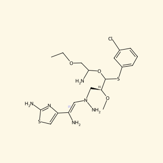 CCOCC(N)OC(Sc1cccc(Cl)c1)[C@H](CN(N)/C=C(\N)c1csc(N)n1)OC